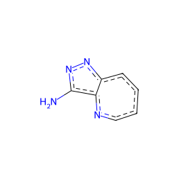 Nc1nnc2ccccnc1-2